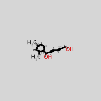 Cc1ccc(C(O)C#CC#CCO)c(C)c1